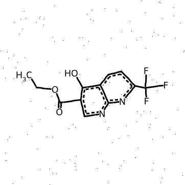 CCOC(=O)c1cnc2nc(C(F)(F)F)ccc2c1O